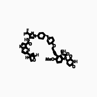 COc1ccc2c(c1C#CCOC1CCN(C[C@H]3CC[C@H](n4cc(NC(=O)c5cnn6ccc(N7C[C@H]8C[C@@H]7CO8)nc56)c(C(F)F)n4)CC3)CC1)n(C)c(=O)n2C1CCC(=O)NC1=O